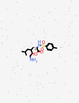 Cc1ccc(S(=O)(=O)N[C@@H](CC(CCN)CC(C)C)C(=O)O)cc1